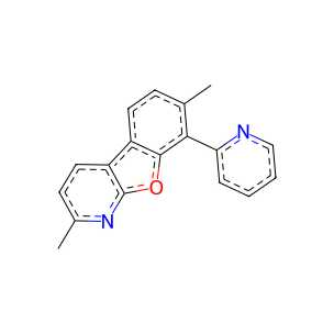 Cc1ccc2c(n1)oc1c(-c3ccccn3)c(C)ccc12